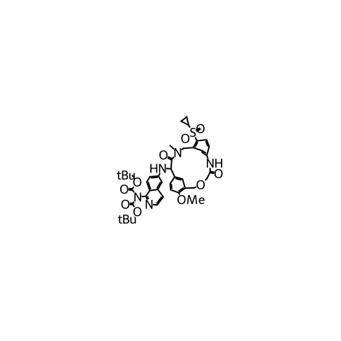 COc1ccc2cc1COCC(=O)Nc1ccc(S(=O)(=O)C3CC3)c(c1)CN(C)C(=O)C2Nc1ccc2c(N(C(=O)OC(C)(C)C)C(=O)OC(C)(C)C)nccc2c1